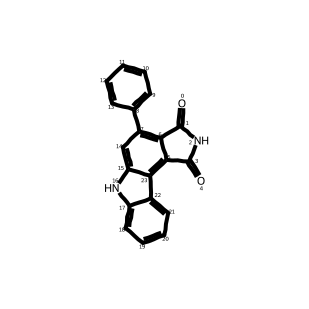 O=C1NC(=O)c2c1c(-c1ccccc1)cc1[nH]c3ccccc3c21